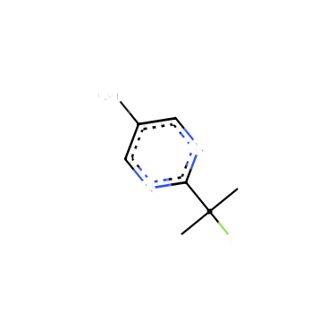 CC(C)(C)c1cnc(C(C)(C)F)nc1